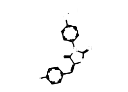 COc1ccc(N2C(=N)SC(=Cc3ccc(O)cc3)C2=O)cc1